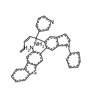 C=C/C=C\C(N)(c1cccnc1)c1cc2ccn(-c3ccccc3)c2cc1-c1cc2sc3ccccc3c2cc1N